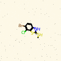 C/[SH]=c1/[nH]c2ccc(Br)c(Cl)c2s1